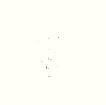 CCCCC(CC)COc1nc(-c2ccccc2O)nc(-c2cc3c(c4ccccc24)-c2ccccc2C3(c2ccccc2)c2ccccc2)n1